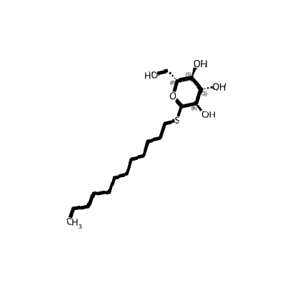 CCCCCCCCCCCCSC1O[C@H](CO)[C@@H](O)[C@H](O)[C@H]1O